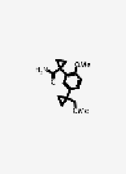 COCC1(c2ccc(OC)c(C3(C(N)=O)CC3)c2)CC1